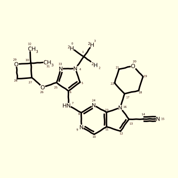 [2H]C([2H])([2H])n1cc(Nc2ncc3cc(C#N)n(C4CCOCC4)c3n2)c(OC2COC2(C)C)n1